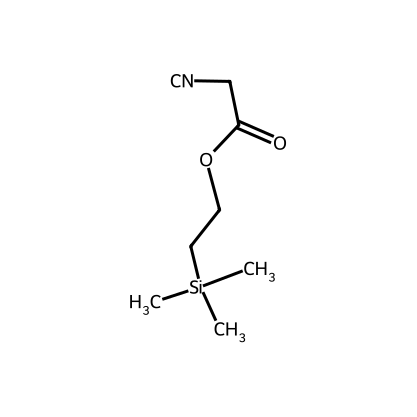 [C-]#[N+]CC(=O)OCC[Si](C)(C)C